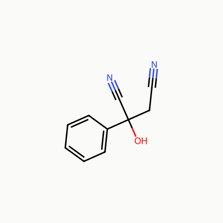 N#CCC(O)(C#N)c1ccccc1